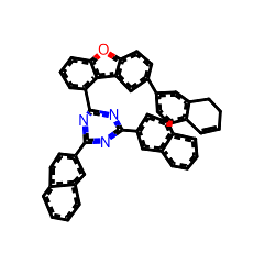 C1=Cc2ccc(-c3ccc4oc5cccc(-c6nc(-c7ccc8ccccc8c7)nc(-c7ccc8ccccc8c7)n6)c5c4c3)cc2CC1